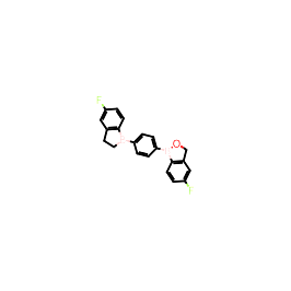 Fc1ccc2c(c1)CCB2c1ccc(B2OCc3cc(F)ccc32)cc1